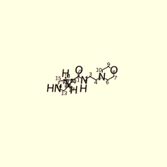 O=C(NCCN1CCOCC1)[C@H]1[C@@H]2CNC[C@@H]21